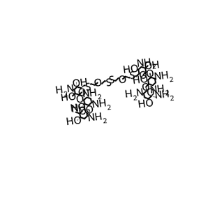 NCC1O[C@H](OC2[C@@H](N)CC(N)[C@H](O[C@H]3O[C@H](CSCCOCCSSCCOCCSCC4O[C@H](O[C@@H]5C(O)C(O[C@H]6O[C@H](CN)[C@@H](O)CC6N)[C@@H](N)C[C@H]5N)C(O)[C@@H](N)[C@@H]4O)[C@@H](O)C(N)C3O)[C@H]2O)[C@@H](N)C[C@@H]1O